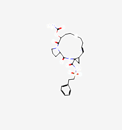 NC(=O)OC1CCCCC/C=C/C2CC2(C(=O)NS(=O)(=O)CCc2ccccc2)NC(=O)C2CCCN2C1=O